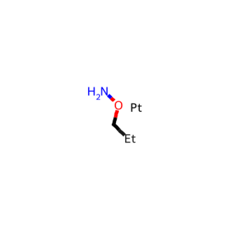 CCCON.[Pt]